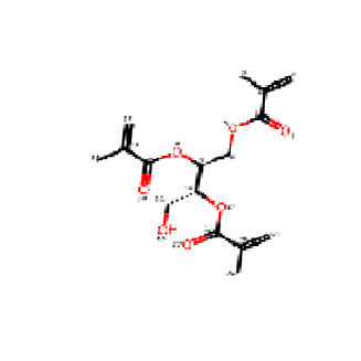 C=C(C)C(=O)OC[C@H](OC(=O)C(=C)C)[C@@H](CO)OC(=O)C(=C)C